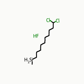 C[SiH2]CCCCCCCCCC(Cl)Cl.F